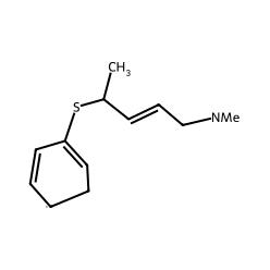 CNCC=CC(C)SC1=CC[CH]C=C1